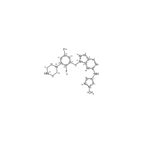 Cn1cc(Nc2ncc3cnn(Cc4cc(F)cc(N5CCNCC5)c4F)c3n2)cn1